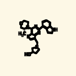 C[C@@H]1COCCN1c1nc(-c2cccc3[nH]ccc23)nc2c(CN3CCC(O)C3)csc12